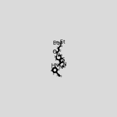 C#Cc1cccc(Nc2ncnc3sc4c(c23)CCN(C(=O)C=CCN(CC)CC)C4)c1